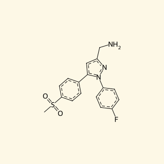 CS(=O)(=O)c1ccc(-c2cc(CN)nn2-c2ccc(F)cc2)cc1